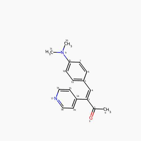 CC(=O)/C(=C/c1ccc(N(C)C)cc1)c1ccncc1